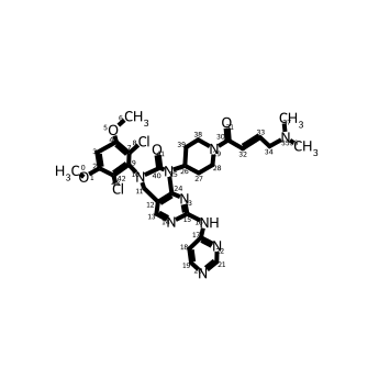 COc1cc(OC)c(Cl)c(N2Cc3cnc(Nc4ccncn4)nc3N(C3CCN(C(=O)C=CCN(C)C)CC3)C2=O)c1Cl